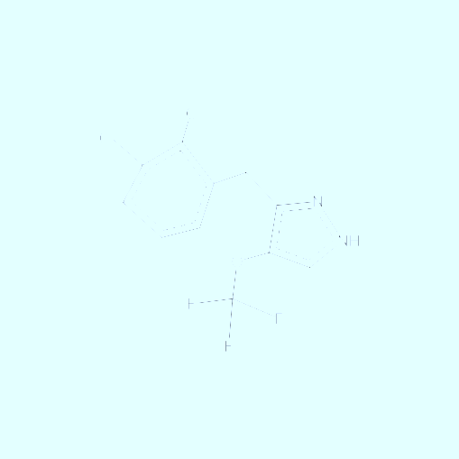 FC(F)(F)Oc1c[nH]nc1Cc1cccc(Cl)c1Cl